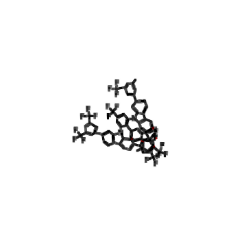 Cc1cc(-c2ccc3c4ccc(-c5cc(C)cc(C(F)(F)F)c5)cc4n(-c4cc(C(F)(F)F)cc(-n5c6cc(-c7cc(C(F)(F)F)cc(C(F)(F)F)c7)ccc6c6ccc(-c7cc(C(F)(F)F)cc(C(F)(F)F)c7)cc65)c4-c4cccc(C#N)c4)c3c2)cc(C(F)(F)F)c1